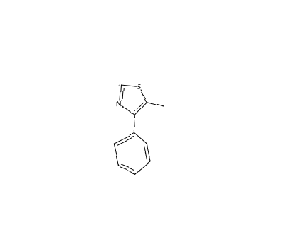 Cc1s[c]nc1-c1ccccc1